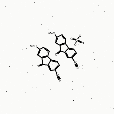 COc1ccc2c(c1)C(=O)c1cc([N+]#N)ccc1-2.COc1ccc2c(c1)C(=O)c1cc([N+]#N)ccc1-2.O=S(=O)([O-])[O-]